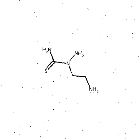 NCCN(N)C(N)=S